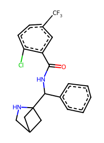 O=C(NC(c1ccccc1)C12CC(CN1)C2)c1cc(C(F)(F)F)ccc1Cl